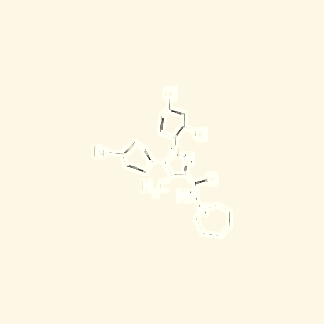 C[C@H]1C(C(=O)NN2CCCCCC2)=NN(c2ccc(Cl)cc2Cl)[C@H]1c1ccc(Br)cc1